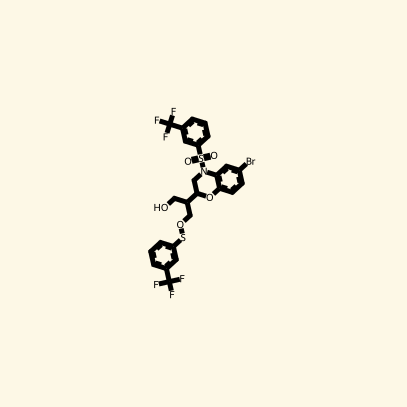 O=S(=O)(c1cccc(C(F)(F)F)c1)N1CC(C(CO)COSc2cccc(C(F)(F)F)c2)Oc2ccc(Br)cc21